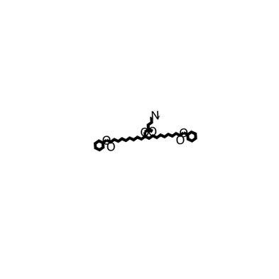 CN(C)CCCC(=O)OC(CCCCCCCCC(=O)OC1CCCCC1)CCCCCCCCC(=O)OC1CCCCC1